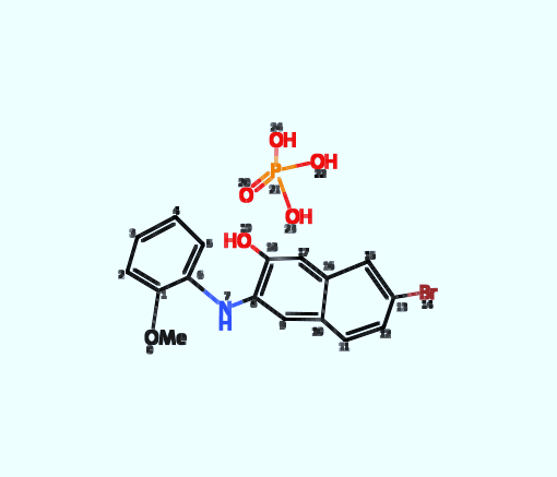 COc1ccccc1Nc1cc2ccc(Br)cc2cc1O.O=P(O)(O)O